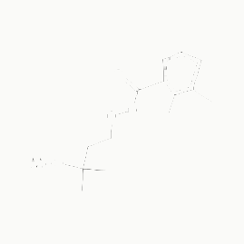 COC(C)(C)C[CH]OOC(=O)c1cccc(C)c1C